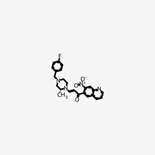 C[C@@H]1CN(Cc2ccc(F)cc2)CCN1/C=C/C(=O)c1cc2cccnc2cc1[N+](=O)[O-]